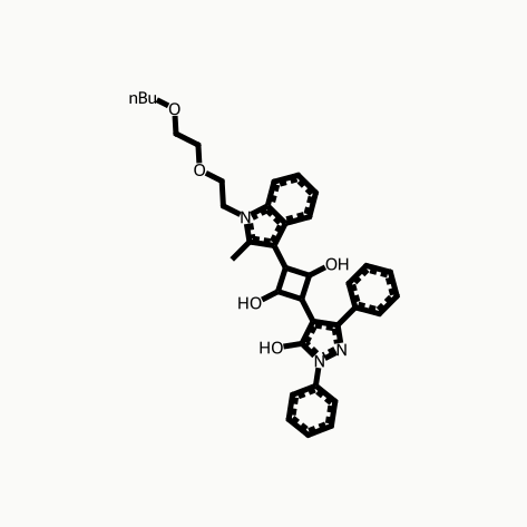 CCCCOCCOCCn1c(C)c(C2C(O)C(c3c(-c4ccccc4)nn(-c4ccccc4)c3O)C2O)c2ccccc21